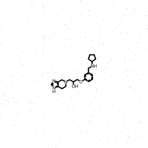 OC(COc1cccc(CNC2CCCC2)c1)CN1CCc2[nH]cnc2C1